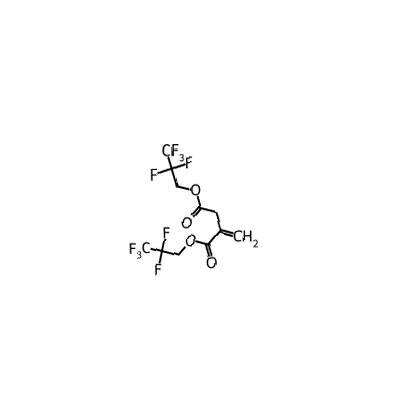 C=C(CC(=O)OCC(F)(F)C(F)(F)F)C(=O)OCC(F)(F)C(F)(F)F